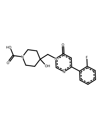 O=C(O)N1CCC(O)(Cn2cnc(-c3ccccc3F)cc2=O)CC1